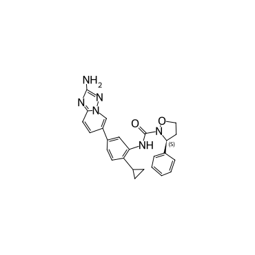 Nc1nc2ccc(-c3ccc(C4CC4)c(NC(=O)N4OCC[C@H]4c4ccccc4)c3)cn2n1